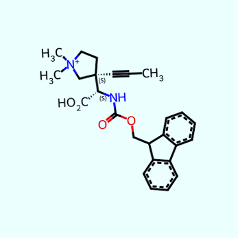 CC#C[C@@]1([C@H](NC(=O)OCC2c3ccccc3-c3ccccc32)C(=O)O)CC[N+](C)(C)C1